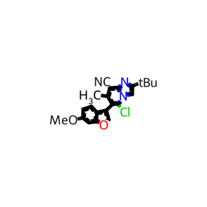 COc1ccc2c(-c3c(C)c(C#N)c4nc(C(C)(C)C)cn4c3Cl)coc2c1